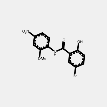 COc1cc([N+](=O)[O-])ccc1NC(=O)c1cc(Br)ccc1O